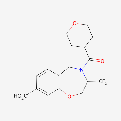 O=C(O)c1ccc2c(c1)OCC(C(F)(F)F)N(C(=O)C1CCOCC1)C2